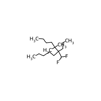 CCCCCC(CCC)([C](F)F)C(C)(C)CCCC